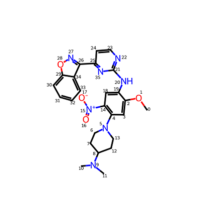 COc1cc(N2CCC(N(C)C)CC2)c([N+](=O)[O-])cc1Nc1nccc(-c2noc3ccccc23)n1